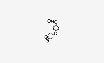 O=Cc1ccc(OC2CCS(=O)(=O)CC2)cc1